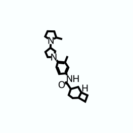 Cc1cc(NC(=O)C2CCC3CC[C@H]3C2)ccc1N1CCC(N2CCCC2C)C1